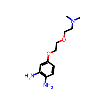 CN(C)CCOCCOc1ccc(N)c(N)c1